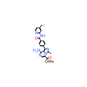 COC(=O)c1cnc(N)c2c(-c3ccc(C(=O)Nc4cc(CF)ccn4)cc3)nc(C)n12